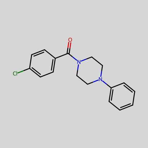 O=C(c1ccc(Cl)cc1)N1CCN(c2ccccc2)CC1